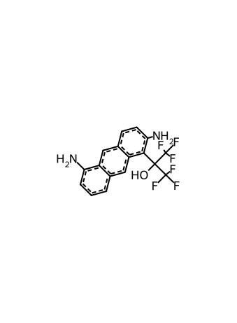 Nc1ccc2cc3c(N)cccc3cc2c1C(O)(C(F)(F)F)C(F)(F)F